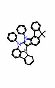 CC1(C)c2ccccc2-c2c1ccc1c3c(n(-c4ccccc4)c21)N(c1ccccc1)c1cccc2c1B3C1CC=CC=C21